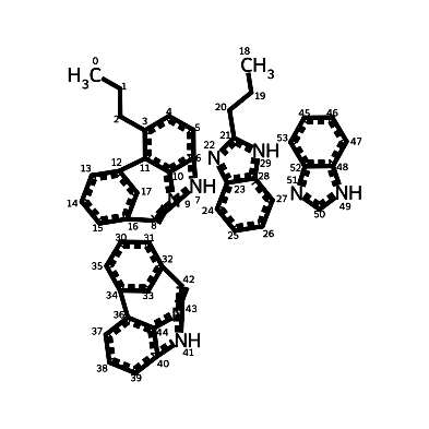 CCCc1ccc2[nH]c3nc2c1-c1cccc-3c1.CCCc1nc2ccccc2[nH]1.c1cc2cc(c1)-c1cccc3[nH]c-2nc13.c1ccc2[nH]cnc2c1